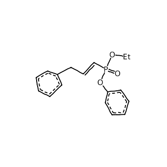 CCOP(=O)(/C=C/Cc1ccccc1)Oc1ccccc1